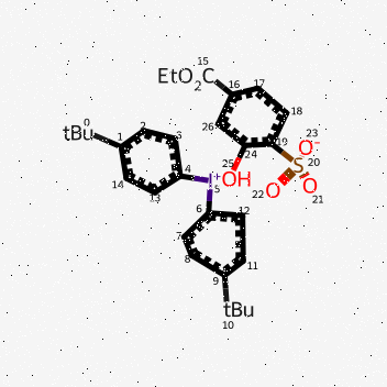 CC(C)(C)c1ccc([I+]c2ccc(C(C)(C)C)cc2)cc1.CCOC(=O)c1ccc(S(=O)(=O)[O-])c(O)c1